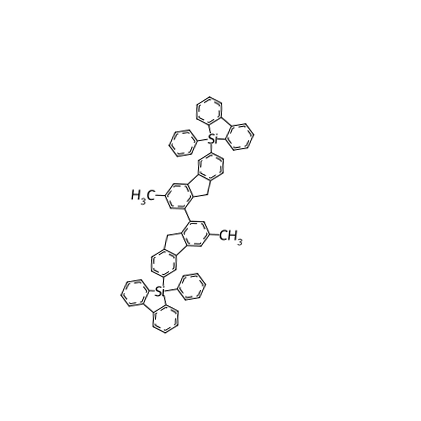 Cc1cc2c(c(-c3cc(C)cc4c3Cc3ccc([Si]5(c6ccccc6)c6ccccc6-c6ccccc65)cc3-4)c1)Cc1ccc([Si]3(c4ccccc4)c4ccccc4-c4ccccc43)cc1-2